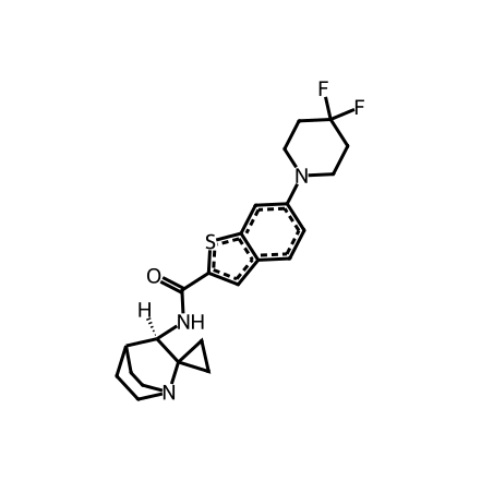 O=C(N[C@@H]1C2CCN(CC2)C12CC2)c1cc2ccc(N3CCC(F)(F)CC3)cc2s1